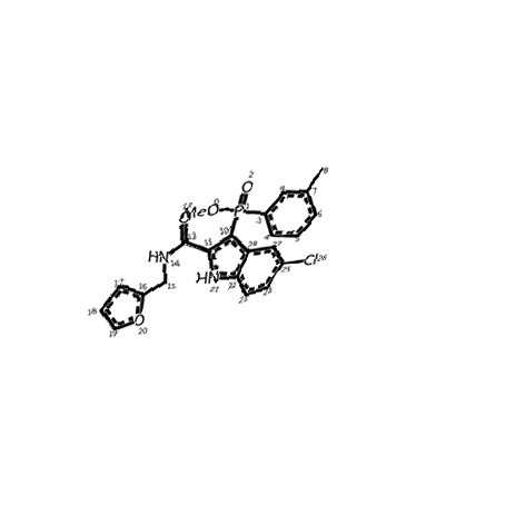 COP(=O)(c1cccc(C)c1)c1c(C(=O)NCc2ccco2)[nH]c2ccc(Cl)cc12